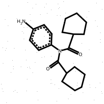 Nc1ccc(N(C(=O)C2CCCCC2)C(=O)C2CCCCC2)cc1